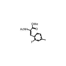 COC(=O)/C(=C\c1ccc(C)cc1F)NC(C)=O